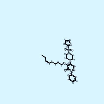 CC/C=C\CCCCOc1c(N2CCN(S(=O)(=O)c3cccs3)CC2)cnn(-c2ccccc2)c1=O